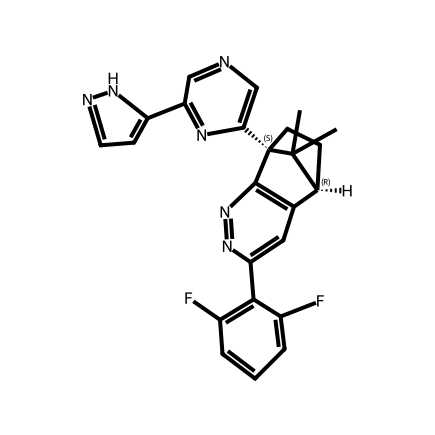 CC1(C)[C@H]2CC[C@]1(c1cncc(-c3ccn[nH]3)n1)c1nnc(-c3c(F)cccc3F)cc12